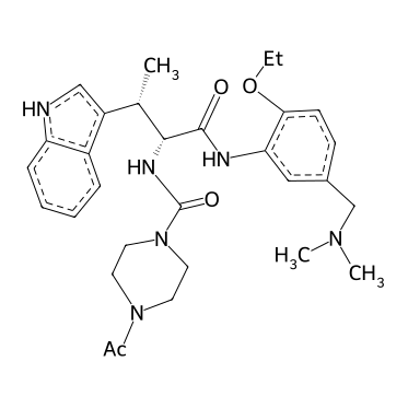 CCOc1ccc(CN(C)C)cc1NC(=O)[C@H](NC(=O)N1CCN(C(C)=O)CC1)[C@@H](C)c1c[nH]c2ccccc12